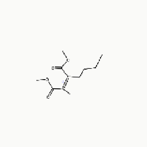 CCCC/C(C(=O)OC)=C(\C)C(=O)OC